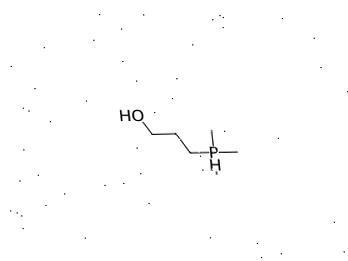 C[PH](C)(C)CCCO